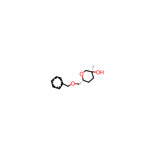 C[C@]1(O)CC[C@H](COCc2ccccc2)OC1